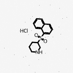 Cl.O=S(=O)(c1cccc2ccccc12)C1CCCNC1